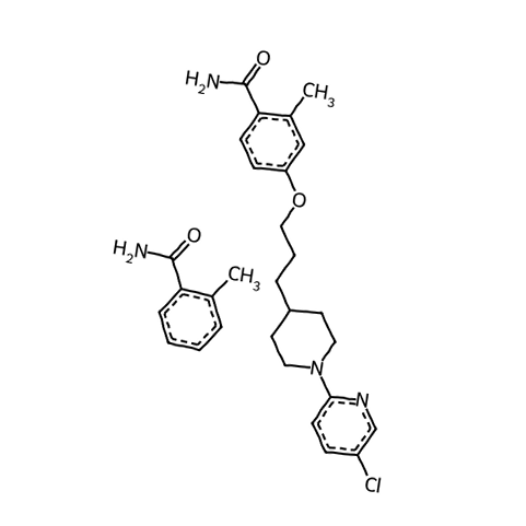 Cc1cc(OCCCC2CCN(c3ccc(Cl)cn3)CC2)ccc1C(N)=O.Cc1ccccc1C(N)=O